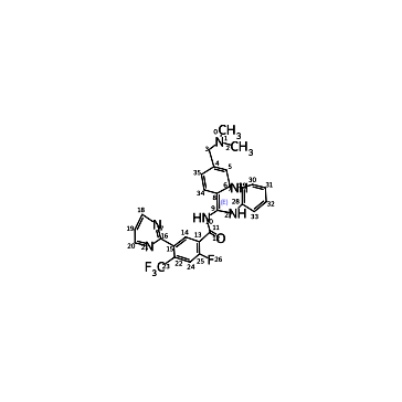 CN(C)CC1=CC(=N)/C(=C(/NC(=O)c2cc(-c3ncccn3)c(C(F)(F)F)cc2F)Nc2ccccc2)C=C1